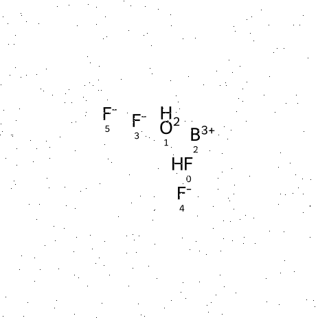 F.O.[B+3].[F-].[F-].[F-]